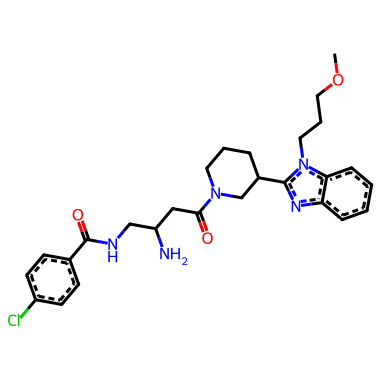 COCCCn1c(C2CCCN(C(=O)CC(N)CNC(=O)c3ccc(Cl)cc3)C2)nc2ccccc21